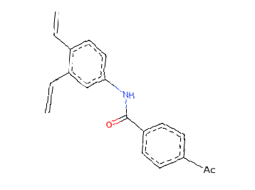 C=Cc1ccc(NC(=O)c2ccc(C(C)=O)cc2)cc1C=C